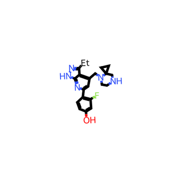 CCc1n[nH]c2nc(-c3ccc(O)cc3F)cc(CN3CCNCC34CC4)c12